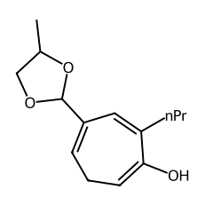 CCCC1=CC(C2OCC(C)O2)=CCC=C1O